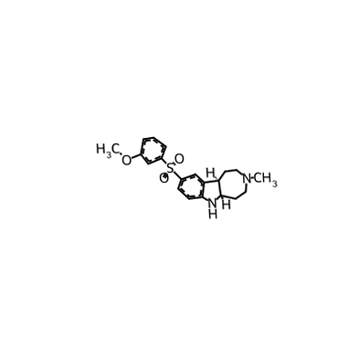 COc1cccc(S(=O)(=O)c2ccc3c(c2)[C@H]2CCN(C)CC[C@@H]2N3)c1